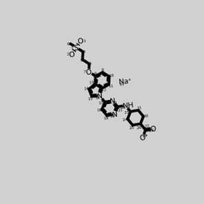 CS(=O)(=O)CCCOc1cccc2c1ccn2-c1ccnc(NC2CCC(C(=O)[O-])CC2)n1.[Na+]